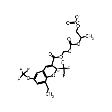 CCc1cc(OC(F)(F)F)cc2c1O[C@H](C(F)(F)F)C(C(=O)OCOC(=O)OC(C)CO[N+](=O)[O-])=C2